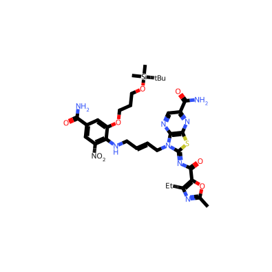 CCc1nc(C)oc1C(=O)/N=c1\sc2nc(C(N)=O)cnc2n1C/C=C/CNc1c(OCCCO[Si](C)(C)C(C)(C)C)cc(C(N)=O)cc1[N+](=O)[O-]